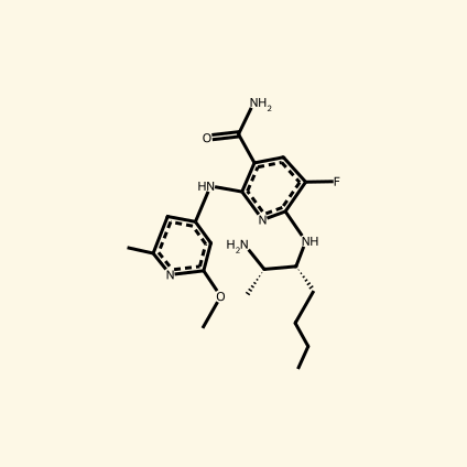 CCCC[C@@H](Nc1nc(Nc2cc(C)nc(OC)c2)c(C(N)=O)cc1F)[C@H](C)N